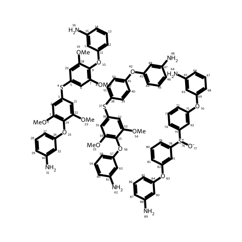 COc1cc(Sc2cc(OC)c(Oc3cccc(N)c3)c(OC)c2)cc(OC)c1Oc1cccc(N)c1.COc1cc(Sc2ccc(Oc3cccc(N)c3)cc2)cc(OC)c1Oc1cccc(N)c1.Nc1cccc(Oc2cccc([S+]([O-])c3cccc(Oc4cccc(N)c4)c3)c2)c1